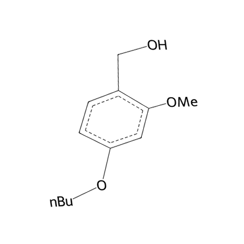 [CH2]CCCOc1ccc(CO)c(OC)c1